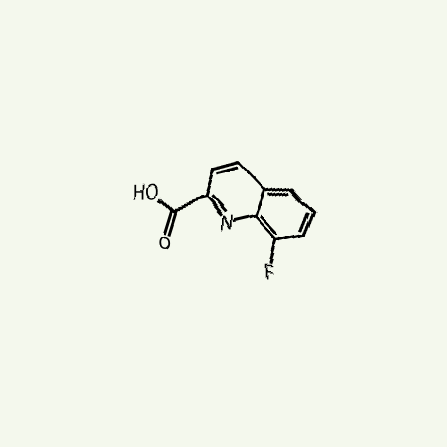 O=C(O)c1ccc2cccc(F)c2n1